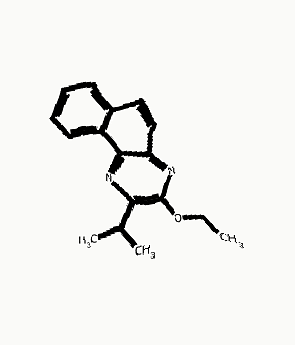 CCOc1nc2ccc3ccccc3c2nc1C(C)C